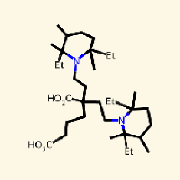 CCC1(C)CCC(C)C(C)(CC)N1CCC(CCCC(=O)O)(CCN1C(C)(CC)CCC(C)C1(C)CC)C(=O)O